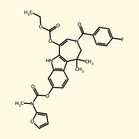 CCOC(=O)OC1=CN(C(=O)c2ccc(F)cc2)CC(C)(C)c2c1[nH]c1cc(OC(=O)N(C)c3ccco3)ccc21